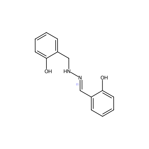 Oc1ccccc1/C=N/NCc1ccccc1O